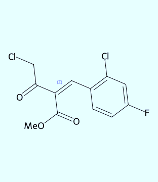 COC(=O)/C(=C\c1ccc(F)cc1Cl)C(=O)CCl